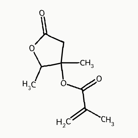 C=C(C)C(=O)OC1(C)CC(=O)OC1C